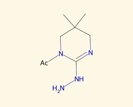 CC(=O)N1CC(C)(C)CN=C1NN